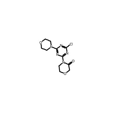 O=C1COCCN1c1nc(Cl)nc(N2CCOCC2)n1